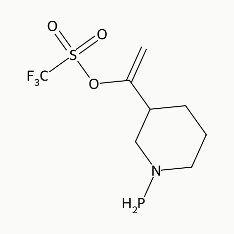 C=C(OS(=O)(=O)C(F)(F)F)C1CCCN(P)C1